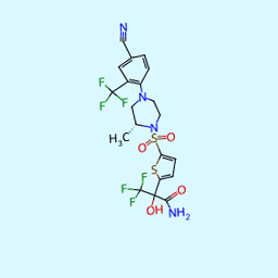 C[C@@H]1CN(c2ccc(C#N)cc2C(F)(F)F)CCN1S(=O)(=O)c1ccc(C(O)(C(N)=O)C(F)(F)F)s1